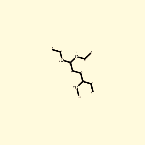 CCOC(CCC(CC)OC)OCC